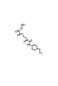 CC(C)(C)OC(=O)NCCCNC(=S)Nc1ccc(OC(F)(F)F)cc1